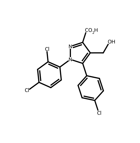 O=C(O)c1nn(-c2ccc(Cl)cc2Cl)c(-c2ccc(Cl)cc2)c1CO